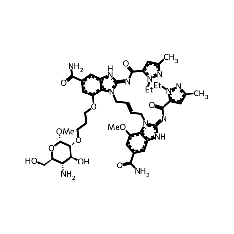 CCn1nc(C)cc1C(=O)/N=c1/[nH]c2cc(C(N)=O)cc(OC)c2n1C/C=C/Cn1/c(=N/C(=O)c2cc(C)nn2CC)[nH]c2cc(C(N)=O)cc(OCCCO[C@H]3[C@@H](OC)O[C@H](CO)[C@@H](N)[C@@H]3O)c21